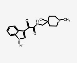 CC(C)n1cc(C(=O)C(=O)NCC2(Cl)CCN(C)CC2)c2ccccc21